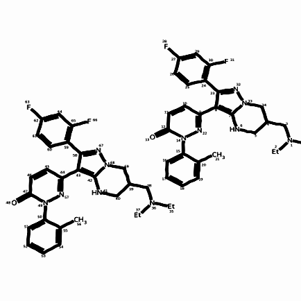 CCN(CC)CC1CNc2c(-c3ccc(=O)n(-c4ccccc4C)n3)c(-c3ccc(F)cc3F)nn2C1.CCN(CC)CC1CNc2c(-c3ccc(=O)n(-c4ccccc4C)n3)c(-c3ccc(F)cc3F)nn2C1